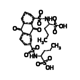 CCCC(NS(=O)(=O)c1ccc2c(c1)C(=O)c1c(cccc1S(=O)(=O)NC(CCC)S(=O)(=O)O)C2=O)S(=O)(=O)O